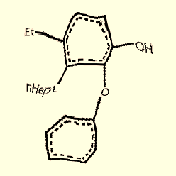 CCCCCCCc1c(CC)ccc(O)c1Oc1ccccc1